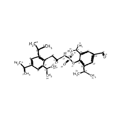 CC(C)c1cc(C(C)C)c(CC(=O)NS(=O)(=O)Oc2c(C(C)C)cc(C=O)cc2C(C)C)c(C(C)C)c1